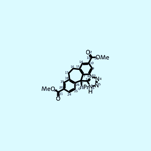 CCCC1(c2nnn[nH]2)c2ccc(C(=O)OC)cc2CCc2cc(C(=O)OC)ccc21